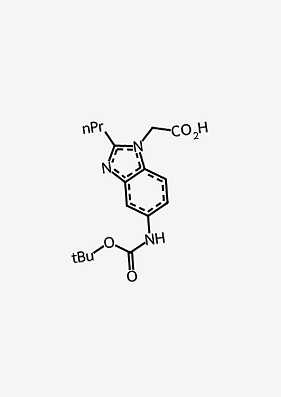 CCCc1nc2cc(NC(=O)OC(C)(C)C)ccc2n1CC(=O)O